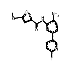 COc1cc(C(=O)Nc2cc(-c3ccc(F)nc3)ccc2N)no1